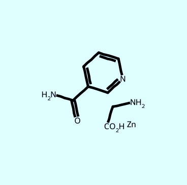 NC(=O)c1cccnc1.NCC(=O)O.[Zn]